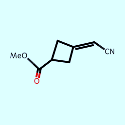 COC(=O)C1CC(=CC#N)C1